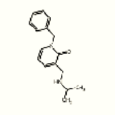 CC(C)NCc1cccn(Cc2ccccc2)c1=O